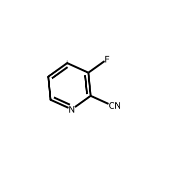 N#Cc1ncc[c]c1F